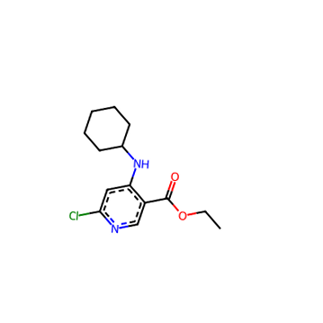 CCOC(=O)c1cnc(Cl)cc1NC1CCCCC1